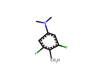 CN(C)c1cc(F)c(C(=O)O)c(F)c1